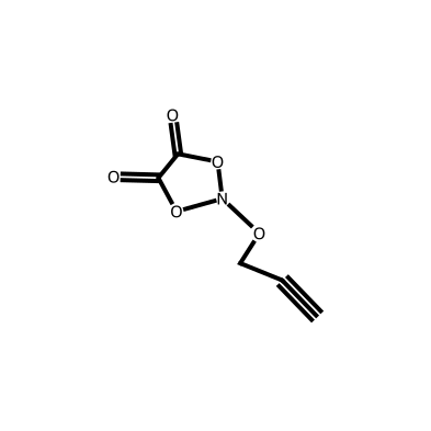 C#CCOn1oc(=O)c(=O)o1